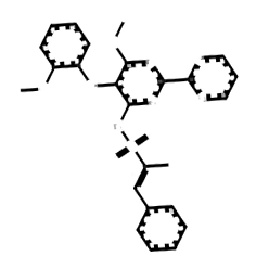 COc1ccccc1Oc1c(NS(=O)(=O)/C(C)=C/c2ccccc2)nc(-c2ncccn2)nc1OC